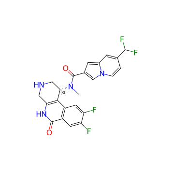 CN(C(=O)c1cc2cc(C(F)F)ccn2c1)[C@H]1CNCc2[nH]c(=O)c3cc(F)c(F)cc3c21